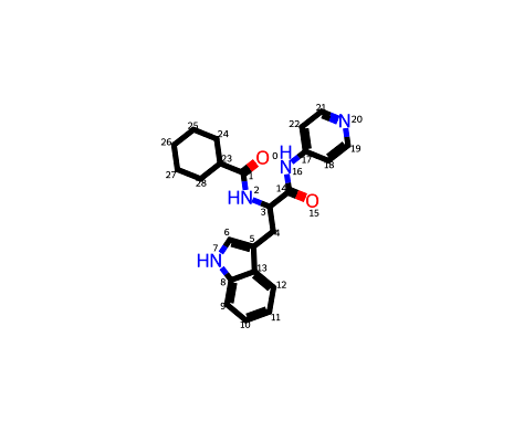 O=C(NC(Cc1c[nH]c2ccccc12)C(=O)Nc1ccncc1)C1CCCCC1